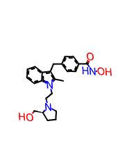 Cc1c(Cc2ccc(C(=O)NO)cc2)c2ccccc2n1CCN1CCC[C@H]1CO